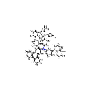 C=CC1=C(/C=C\C)C2(c3cc(N(c4cccc(-c5cccc6ccccc56)c4)c4ccc5c6ccccc6c6ccccc6c5c4)ccc31)c1ccccc1-c1ccccc12